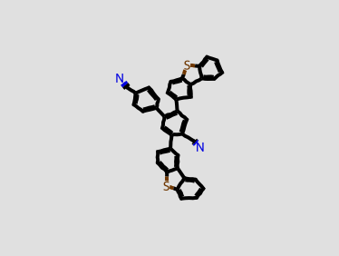 N#Cc1ccc(-c2cc(-c3ccc4sc5ccccc5c4c3)c(C#N)cc2-c2ccc3sc4ccccc4c3c2)cc1